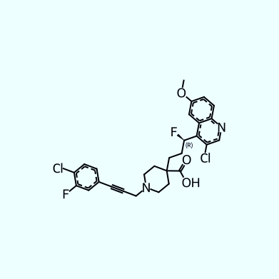 COc1ccc2ncc(Cl)c([C@H](F)CCC3(C(=O)O)CCN(CC#Cc4ccc(Cl)c(F)c4)CC3)c2c1